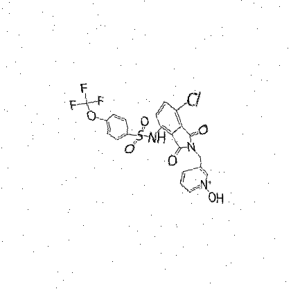 O=C1c2c(Cl)ccc(NS(=O)(=O)c3ccc(OC(F)(F)F)cc3)c2C(=O)N1Cc1ccc[n+](O)c1